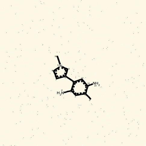 Cc1cc(N)c(-c2ccn(C)c2)cc1N